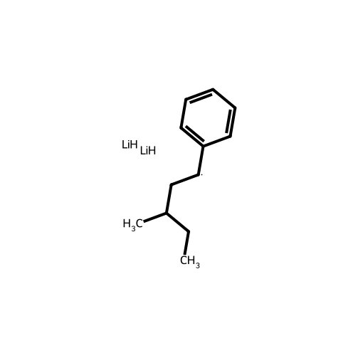 CCC(C)C[CH]c1ccccc1.[LiH].[LiH]